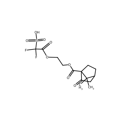 CC1(C)C2CCC1(C(=O)OCCOC(=O)C(F)(F)S(=O)(=O)O)C(=O)C2